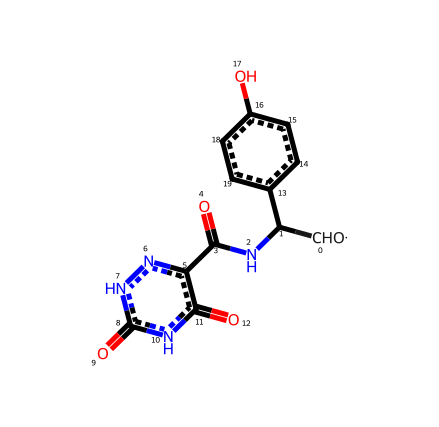 O=[C]C(NC(=O)c1n[nH]c(=O)[nH]c1=O)c1ccc(O)cc1